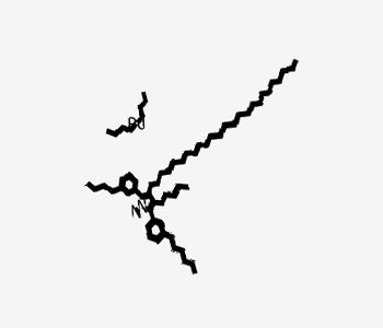 CCCCCCCCCCCCCCCCCCCCCCCCCC1=C(c2cccc(CCCC)c2)[N+](=[N-])C(c2cccc(CCCCCC)c2)=C1CCCCC.CCC[CH2][Pd][CH2]CCC